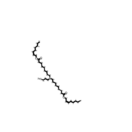 CCCCC/C=C\COC(=O)CCCCCCCCN(CCCO)CCCCCCCCC(=O)OC/C=C\CCCCC